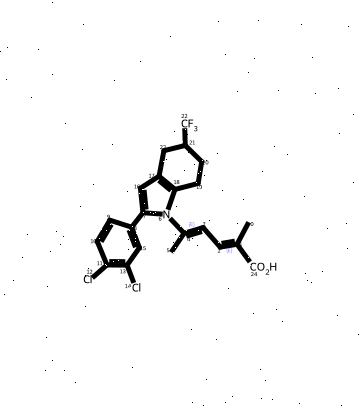 C/C(=C\C=C(/C)n1c(-c2ccc(Cl)c(Cl)c2)cc2c1CCC(C(F)(F)F)C2)C(=O)O